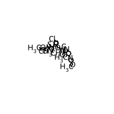 COC1CCN(C2CCc3nc(C)n(CCOc4ccc(Cl)cc4-c4cc(C)nc5c(C(=O)OC(C)C)csc45)c(=O)c3C2C)CC1